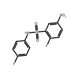 O=[N+]([O-])c1ccc(F)c(S(=O)(=O)Nc2ccc(F)cc2)c1